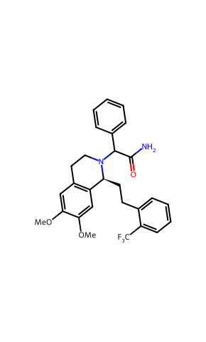 COc1cc2c(cc1OC)[C@H](CCc1ccccc1C(F)(F)F)N(C(C(N)=O)c1ccccc1)CC2